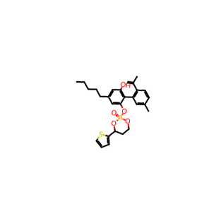 C=C(C)c1ccc(C)cc1-c1c(O)cc(CCCCC)cc1OP1(=O)OCCC(c2cccs2)O1